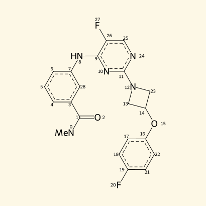 CNC(=O)c1cccc(Nc2nc(N3CC(Oc4ccc(F)cc4)C3)ncc2F)c1